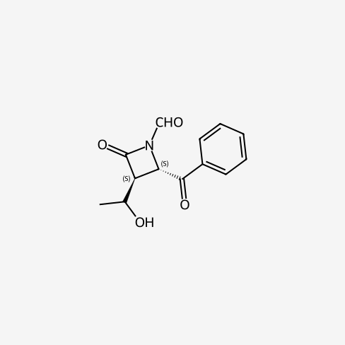 CC(O)[C@H]1C(=O)N(C=O)[C@@H]1C(=O)c1ccccc1